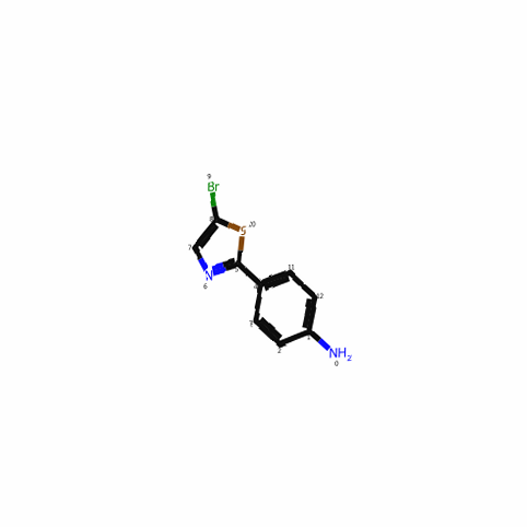 Nc1ccc(-c2ncc(Br)s2)cc1